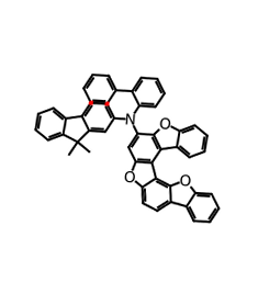 CC1(C)c2ccccc2-c2ccc(N(c3ccccc3-c3ccccc3)c3cc4oc5ccc6c7ccccc7oc6c5c4c4c3oc3ccccc34)cc21